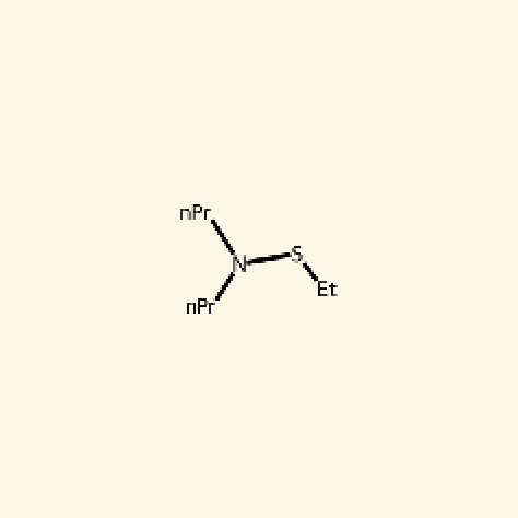 CCCN(CCC)SCC